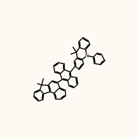 CC1(C)c2ccccc2N(c2ccccc2)c2ccc(-c3c4ccccc4c(-c4cc5c(c6ccccc46)-c4ccccc4C5(C)C)c4ccccc34)cc21